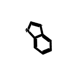 [C]1=C[N]c2ccccc21